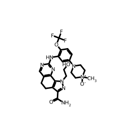 C[N+]1([O-])CCN(c2ccc(OC(F)(F)F)c(Nc3ncc4c(n3)-c3c(c(C(N)=O)nn3CCO)CC4)c2)CC1